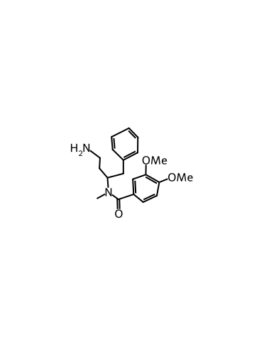 COc1ccc(C(=O)N(C)C(CCN)Cc2ccccc2)cc1OC